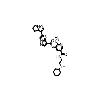 Cc1ncc(C(=O)NCCNC2CCCCC2)cc1NC(=O)c1cnn2cc(-c3cnn4c3CCC4)sc12